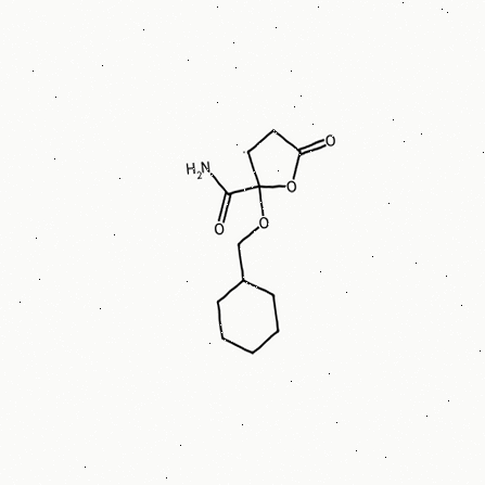 NC(=O)C1(OCC2CCCCC2)[CH]CC(=O)O1